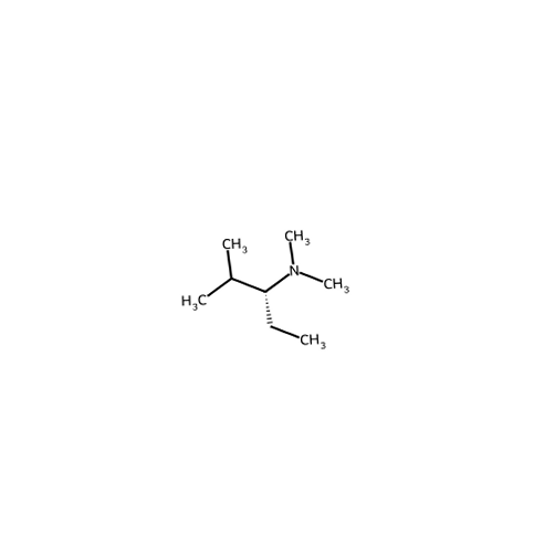 CC[C@H](C(C)C)N(C)C